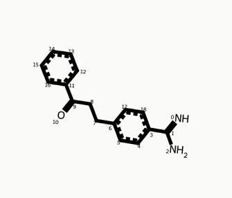 N=C(N)c1ccc(CCC(=O)c2[c]cccc2)cc1